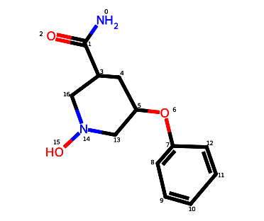 NC(=O)C1CC(Oc2ccccc2)CN(O)C1